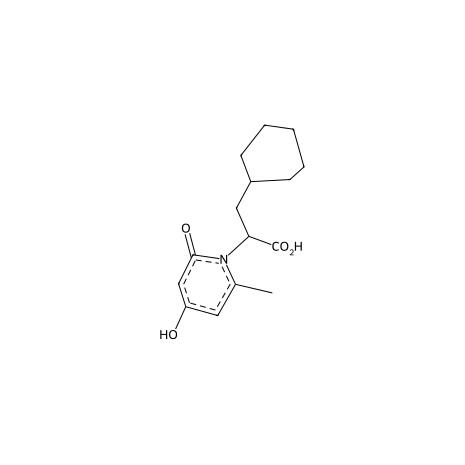 Cc1cc(O)cc(=O)n1C(CC1CCCCC1)C(=O)O